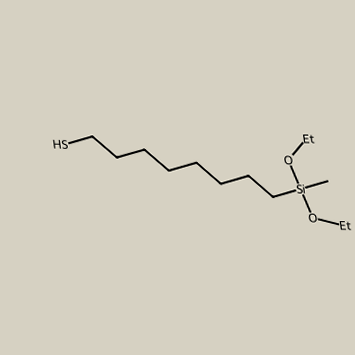 CCO[Si](C)(CCCCCCCCS)OCC